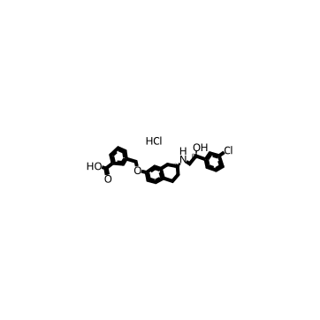 Cl.O=C(O)c1cccc(COc2ccc3c(c2)C[C@@H](NC[C@H](O)c2cccc(Cl)c2)CC3)c1